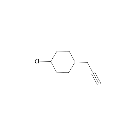 [C]#CCC1CCC(Cl)CC1